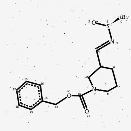 CC(C)(C)[S@+]([O-])/N=C/C1CCCN(C(=O)OCc2ccccc2)C1